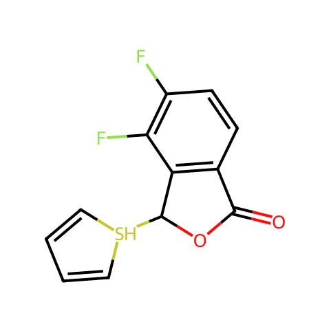 O=C1OC([SH]2C=CC=C2)c2c1ccc(F)c2F